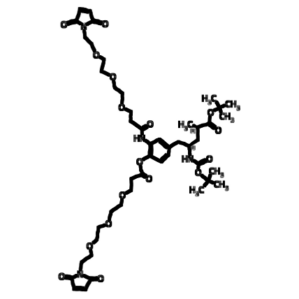 C[C@H](C[C@H](Cc1ccc(OC(=O)CCOCCOCCOCCN2C(=O)C=CC2=O)c(NC(=O)CCOCCOCCOCCN2C(=O)C=CC2=O)c1)NC(=O)OC(C)(C)C)C(=O)OC(C)(C)C